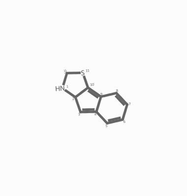 [CH]1NC2C=c3ccccc3=C2S1